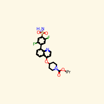 CC(C)OC(=O)N1CCC(Oc2ccnc3c(-c4cc(F)c(S(N)(=O)=O)cc4F)cccc23)CC1